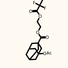 CC(=O)OC12CC3CC(C1)CC(C(=O)OCCOC(=O)C(C)(F)F)(C3)C2